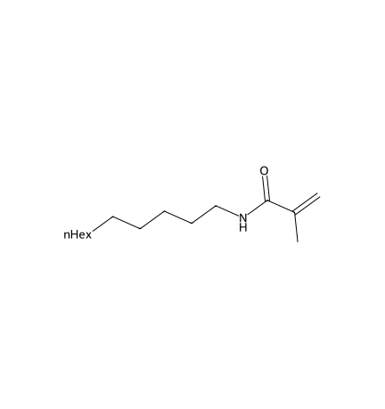 C=C(C)C(=O)NCCCCCCCCCCC